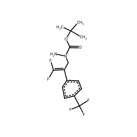 CC(C)(C)OC(=O)N(N)CC(=C(F)F)c1ccc(C(F)(F)F)cc1